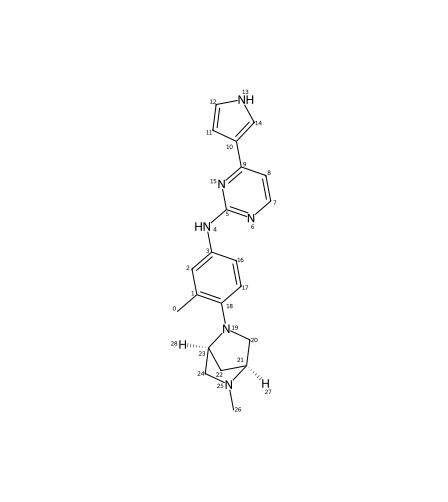 Cc1cc(Nc2nccc(-c3cc[nH]c3)n2)ccc1N1C[C@@H]2C[C@H]1CN2C